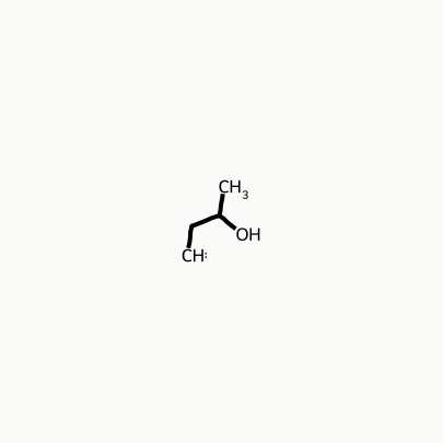 [CH]CC(C)O